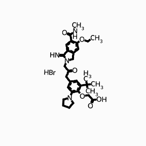 Br.CCOc1cc2c(cc1C(=O)NC)C(=N)N(CC(=O)Cc1cc(N3CCCC3)c(OCC(=O)O)c(C(C)(C)C)c1)C2